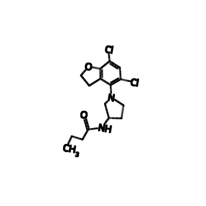 CCCC(=O)NC1CCN(c2c(Cl)cc(Cl)c3c2CCO3)C1